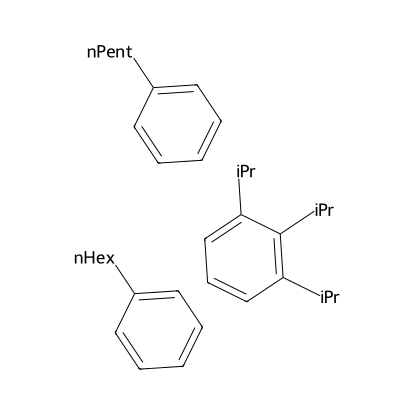 CC(C)c1cccc(C(C)C)c1C(C)C.CCCCCCc1ccccc1.CCCCCc1ccccc1